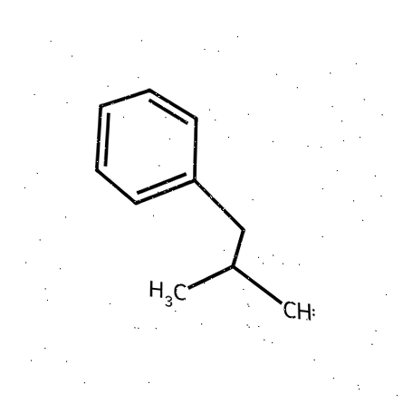 [CH]C(C)Cc1ccccc1